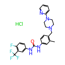 Cc1cc(NC(=O)Nc2ccc(F)c(C(F)(F)F)c2)ccc1CN1CCN(c2ccccn2)CC1.Cl